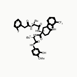 CCC(C)[C@H](NC(=O)Cc1ccccc1F)C(=O)N[C@]1(C(=O)NC(C(=O)Nc2ccc(OC)c(O)c2)[C@@H](C)CC)CCc2[nH]c3c(C(F)(F)F)cccc3c2C1